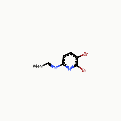 CN/C=N/c1ccc(Br)c(Br)n1